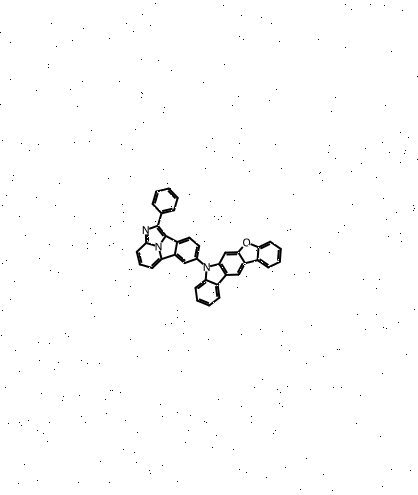 c1ccc(-c2nc3cccc4c5cc(-n6c7ccccc7c7cc8c(cc76)oc6ccccc68)ccc5c2n34)cc1